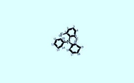 Fc1cccc(F)c1N(c1ccccc1)c1ccccc1